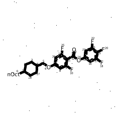 CCCCCCCCC1CCC(COc2cc(F)c(C(=O)Oc3cc(F)c(F)c(F)c3)c(F)c2)CC1